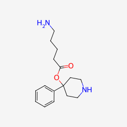 NCCCCC(=O)OC1(c2ccccc2)CCNCC1